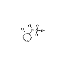 CC(C)S(=O)(=O)N(Cl)c1ccccc1Cl